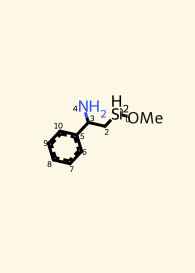 CO[SiH2]CC(N)c1ccccc1